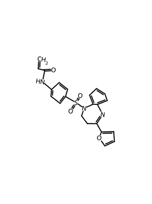 C=CC(=O)Nc1ccc(S(=O)(=O)N2CCC(c3ccco3)=Nc3ccccc32)cc1